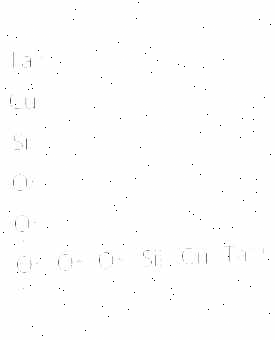 [Cu].[Cu].[O-2].[O-2].[O-2].[O-2].[O-2].[Si].[Si].[Ta+5].[Ta+5]